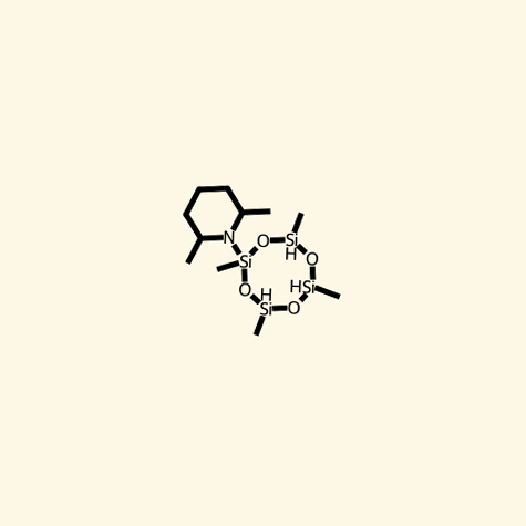 CC1CCCC(C)N1[Si]1(C)O[SiH](C)O[SiH](C)O[SiH](C)O1